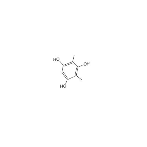 Cc1c(O)cc(O)c(C)c1O